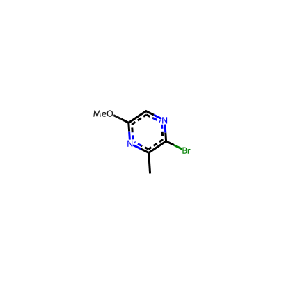 COc1cnc(Br)c(C)n1